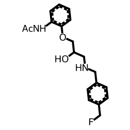 CC(=O)Nc1ccccc1OCC(O)CNCc1ccc(CF)cc1